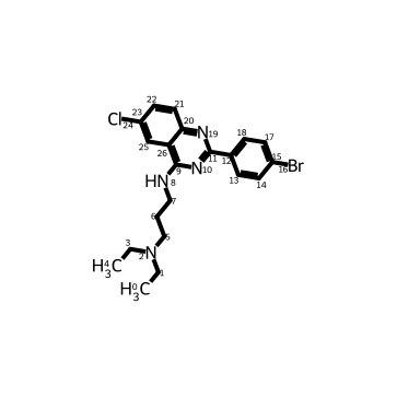 CCN(CC)CCCNc1nc(-c2ccc(Br)cc2)nc2ccc(Cl)cc12